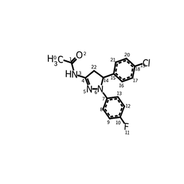 CC(=O)NC1=NN(c2ccc(F)cc2)C(c2ccc(Cl)cc2)C1